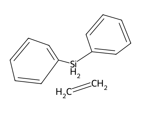 C=C.c1ccc([SiH2]c2ccccc2)cc1